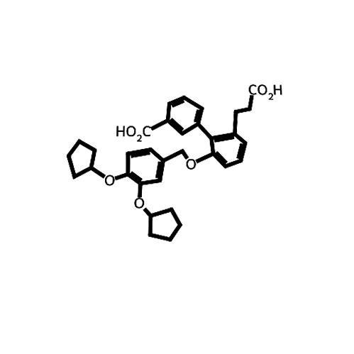 O=C(O)CCc1cccc(OCc2ccc(OC3CCCC3)c(OC3CCCC3)c2)c1-c1cccc(C(=O)O)c1